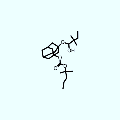 CCCC(C)(C)OC(=O)OC12CC3CC(C1)CC(OC(O)C(C)(C)CC)(C3)C2